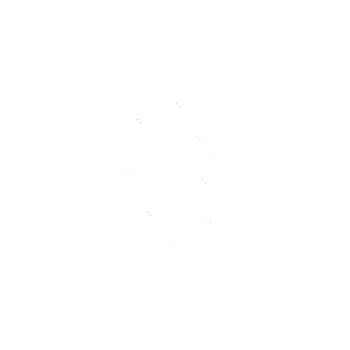 Cn1cnc([N+](=O)[O-])c1Sc1ncnc2nc[nH]c12.[Pb+4]